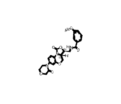 COc1cccc(C(=O)NC[C@@H]2OC(=O)N3c4ccc(N5CCOCC5=O)cc4OC[C@@H]23)c1